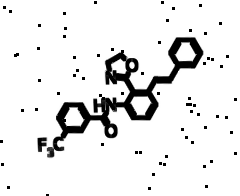 O=C(Nc1cccc(/C=C/c2ccccc2)c1C1=NCCO1)c1cccc(C(F)(F)F)c1